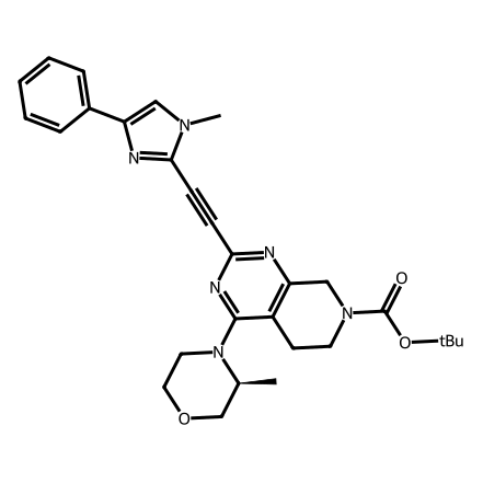 C[C@H]1COCCN1c1nc(C#Cc2nc(-c3ccccc3)cn2C)nc2c1CCN(C(=O)OC(C)(C)C)C2